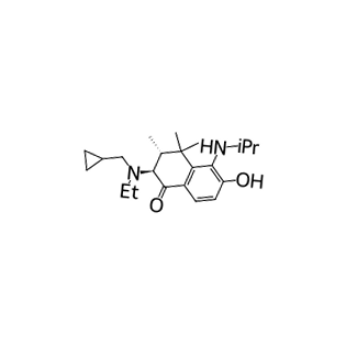 CCN(CC1CC1)[C@@H]1C(=O)c2ccc(O)c(NC(C)C)c2C(C)(C)[C@H]1C